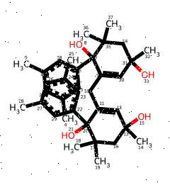 Cc1cc(C)cc(C2(O)C(CC3=CC(C)(O)CC(C)(C)C3(O)c3cc(C)cc(C)c3)=CC(C)(O)CC2(C)C)c1